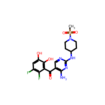 CS(=O)(=O)N1CCC(Nc2ncc(C(=O)c3c(O)c(O)cc(F)c3F)c(N)n2)CC1